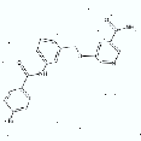 NC(=O)c1cncc(OCc2cccc(NC(=O)c3ccc(Br)cc3)c2)c1